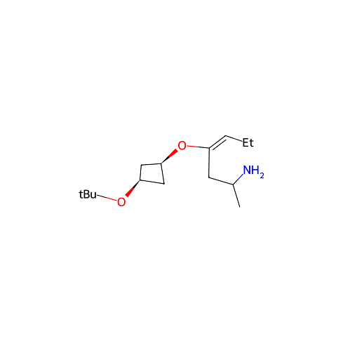 CC/C=C(\CC(C)N)O[C@H]1C[C@@H](OC(C)(C)C)C1